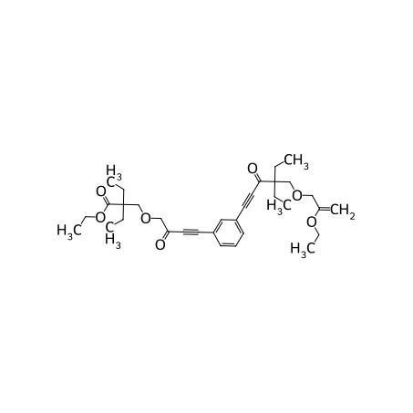 C=C(COCC(CC)(CC)C(=O)C#Cc1cccc(C#CC(=O)COCC(CC)(CC)C(=O)OCC)c1)OCC